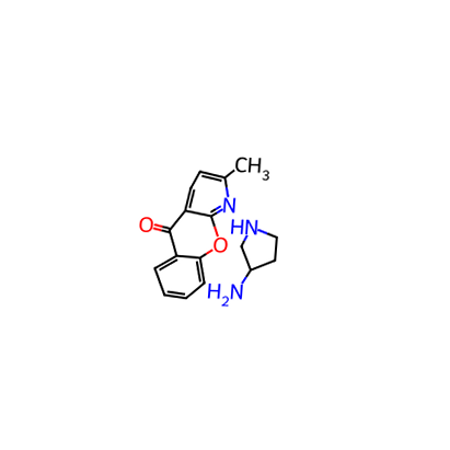 Cc1ccc2c(=O)c3ccccc3oc2n1.NC1CCNC1